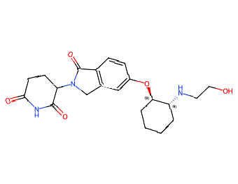 O=C1CCC(N2Cc3cc(O[C@@H]4CCCC[C@H]4NCCO)ccc3C2=O)C(=O)N1